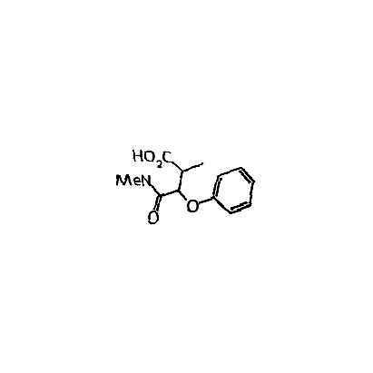 CNC(=O)C(Oc1ccccc1)C(C)C(=O)O